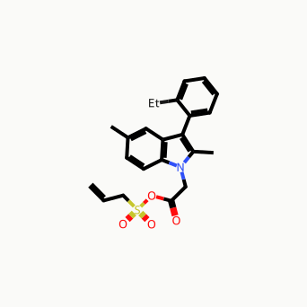 C=CCS(=O)(=O)OC(=O)Cn1c(C)c(-c2ccccc2CC)c2cc(C)ccc21